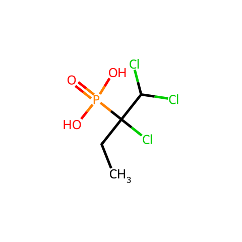 CCC(Cl)(C(Cl)Cl)P(=O)(O)O